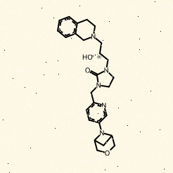 O=C1N(Cc2ccc(N3C4COCC3C4)cn2)CCN1C[C@H](O)CN1CCc2ccccc2C1